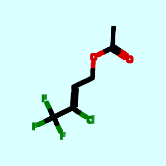 CC(=O)OCC=C(Cl)C(F)(F)F